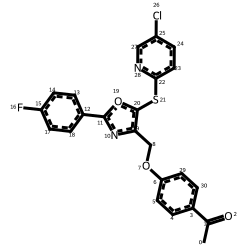 CC(=O)c1ccc(OCc2nc(-c3ccc(F)cc3)oc2Sc2ccc(Cl)cn2)cc1